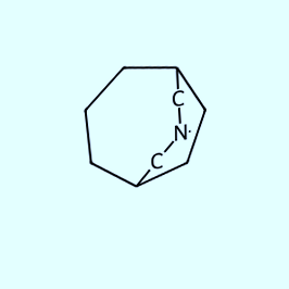 C1CC2CCC(C1)C[N]C2